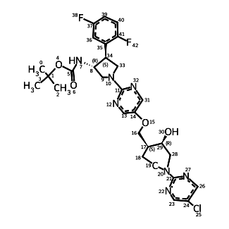 CC(C)(C)OC(=O)N[C@H]1CN(c2ncc(OC[C@@H]3CCN(c4ncc(Cl)cn4)C[C@@H]3O)cn2)C[C@@H]1c1cc(F)ccc1F